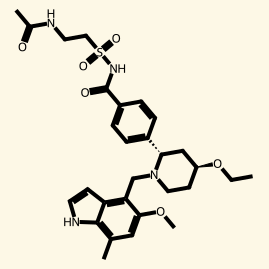 CCO[C@H]1CCN(Cc2c(OC)cc(C)c3[nH]ccc23)[C@H](c2ccc(C(=O)NS(=O)(=O)CCNC(C)=O)cc2)C1